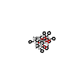 CC(=O)NC1[C@H](C)OC(CO)[C@@H](O)[C@@H]1O[C@@H]1OC(C)[C@@H](OCc2ccccc2)[C@H](O[C@@H]2OC(C)[C@@H](OCc3ccccc3)[C@H](OCc3ccccc3)C2O[C@@H]2OC(C)[C@@H](OCc3ccccc3)[C@H](O[C@H]3O[C@@H](COCc4ccccc4)[C@H](OCc4ccccc4)C(OCc4ccccc4)C3OCc3ccccc3)C2O)C1C